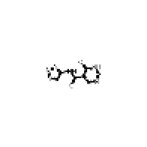 O=C(Nc1cnn[nH]1)c1cnc[nH]c1=O